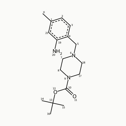 Cc1ccc(CN2CCN(C(=O)OC(C)(C)C)CC2)c(N)c1